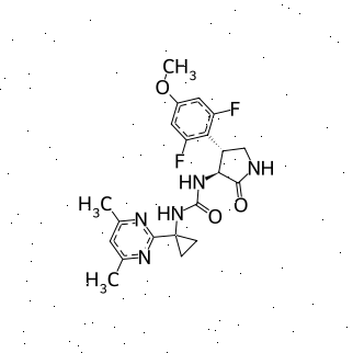 COc1cc(F)c([C@@H]2CNC(=O)[C@H]2NC(=O)NC2(c3nc(C)cc(C)n3)CC2)c(F)c1